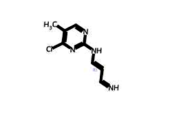 Cc1cnc(N/C=C/C=N)nc1Cl